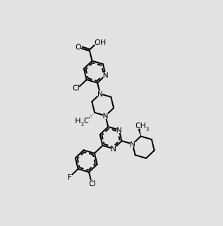 C[C@@H]1CN(c2ncc(C(=O)O)cc2Cl)CCN1c1cc(-c2ccc(F)c(Cl)c2)nc(N2CCCC[C@@H]2C)n1